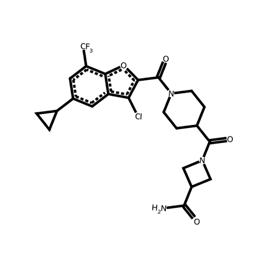 NC(=O)C1CN(C(=O)C2CCN(C(=O)c3oc4c(C(F)(F)F)cc(C5CC5)cc4c3Cl)CC2)C1